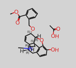 CC(=O)O.COC(=O)c1ccccc1CO[C@H]1C=C[C@H]2[C@H]3Cc4ccc(O)c5c4[C@@]2(CCN3C)[C@H]1O5